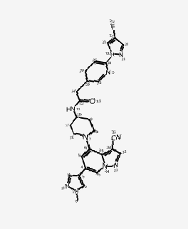 Cn1cc(-c2cc(N3CCC(NC(=O)CC4C=NC(n5cc(F)cn5)=CC4)CC3)c3c(C#N)cnn3c2)cn1